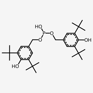 CC(C)(C)c1cc(COP(O)OCc2cc(C(C)(C)C)c(O)c(C(C)(C)C)c2)cc(C(C)(C)C)c1O